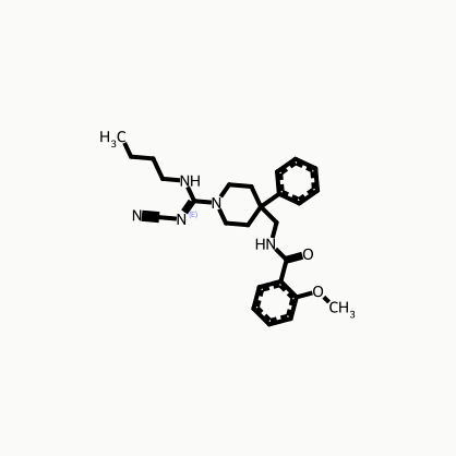 CCCCN/C(=N\C#N)N1CCC(CNC(=O)c2ccccc2OC)(c2ccccc2)CC1